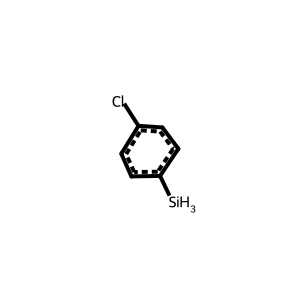 [SiH3]c1ccc(Cl)cc1